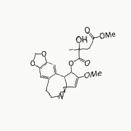 COC(=O)CC(C)(O)C(=O)OC1C(OC)=CC23CCCN2CCc2cc4c(cc2C13)OCO4